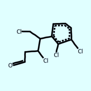 O=CCC(Cl)C(CCl)c1cccc(Cl)c1Cl